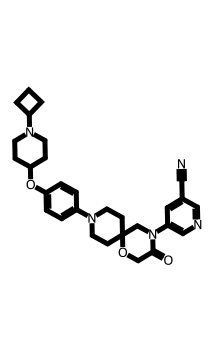 N#Cc1cncc(N2CC3(CCN(c4ccc(OC5CCN(C6CCC6)CC5)cc4)CC3)OCC2=O)c1